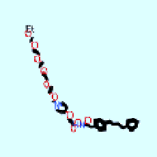 CCOCCOCCOCCOCCOCCOCN1CCC(OCC(=O)ONC(=O)Cc2ccc(CCCCc3ccccc3)cc2)CC1